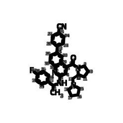 CC(Nc1cc(C(=O)N2CCC[C@H]2CN2CCCC2)c2cc(-c3ccc(C#N)cc3)ccc2n1)c1ccc(F)cc1